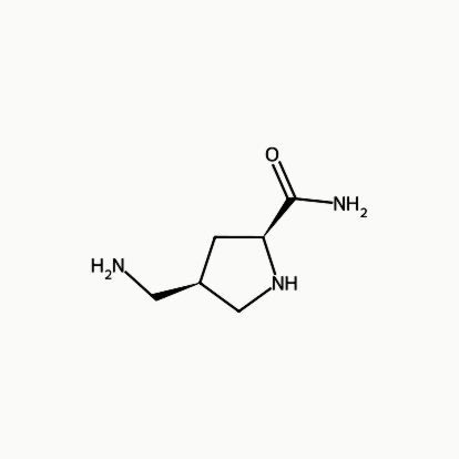 NC[C@@H]1CN[C@H](C(N)=O)C1